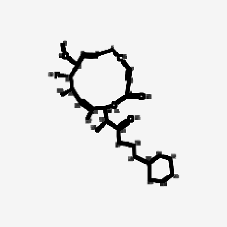 CO[C@H]1/C=C/CC/C=C/C(=O)OC([C@H](C)C(=O)CCCC2CCCCC2)/C(C)=C\[C@@H](C)[C@@H]1F